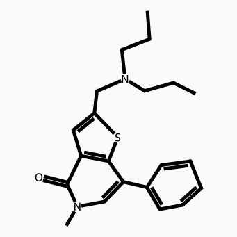 CCCN(CCC)Cc1cc2c(=O)n(C)cc(-c3ccccc3)c2s1